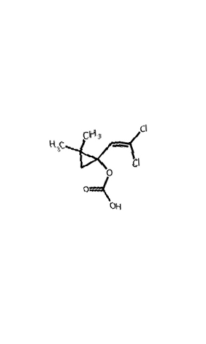 CC1(C)CC1(C=C(Cl)Cl)OC(=O)O